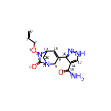 C=CCON1C(=O)N2CC(c3n[nH]cc3C(N)=O)=CC1C2